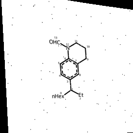 CCCCCCC(CC)c1ccc2c(c1)CCCN2C=O